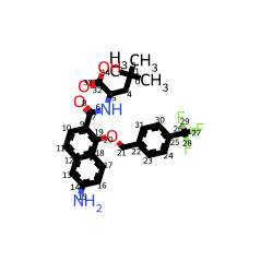 CC(C)(C)CC(NC(=O)c1ccc2cc(N)ccc2c1OCc1ccc(C(F)(F)F)cc1)C(=O)O